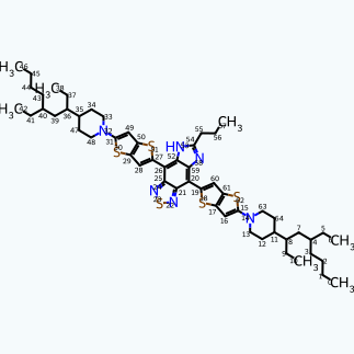 CCCCC(CC)CC(CC)C1CCN(c2cc3sc(-c4c5nsnc5c(-c5cc6sc(N7CCC(C(CC)CC(CC)CCCC)CC7)cc6s5)c5[nH]c(CCC)nc45)cc3s2)CC1